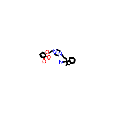 COc1cccc(OCCN2CCN(CCCC(C#N)(c3ccccc3)C(C)C)CC2)c1OC